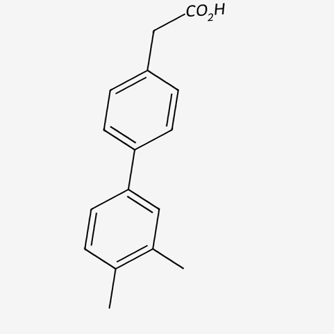 Cc1ccc(-c2ccc(CC(=O)O)cc2)cc1C